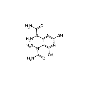 NC(=O)N(N)c1nc(S)nc(O)c1N(N)C(N)=O